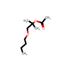 CCCCOCC(C)(C)OC(C)=O